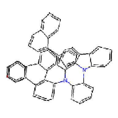 c1ccc(-c2ccccc2-c2c(-c3ccccc3)cccc2N(c2cccc(-c3cccc4ccccc34)c2)c2ccccc2-n2c3ccccc3c3ccccc32)cc1